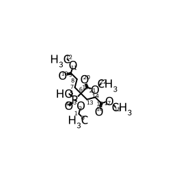 CCOP(=O)(O)C(CCC(=O)OC)(CCC(=O)OC)C(=O)OC